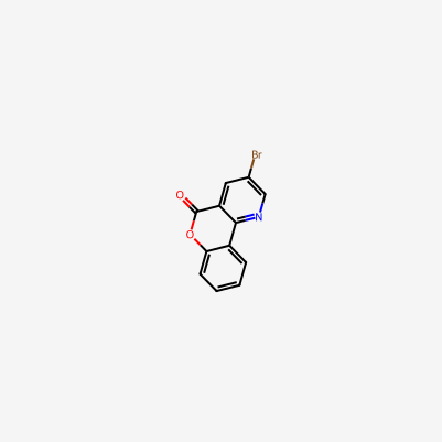 O=c1oc2ccccc2c2ncc(Br)cc12